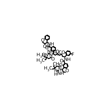 CCC1(CC)CC(=O)N([C@@H]2CCOc3ccc(C(=O)N[C@@H]4CC(C)(CC5C[C@@H](N6C(=N)NC(CC)(CC)CC6=O)c6cc(C(=O)NC7c8ccccc8OCC7O)ccc6O5)Oc5ccc(F)cc54)cc32)C(=N)N1